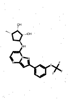 [CH2][C@H]1C[C@H](Nc2ccnc3cc(-c4cccc(SC(F)(F)F)c4)nn23)[C@@H](O)[C@H]1O